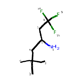 CC(C)(C)CC(N)CC(F)(F)F